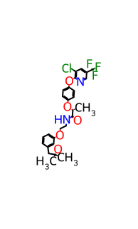 C[C@@H](Oc1ccc(Oc2ncc(C(F)(F)F)cc2Cl)cc1)C(=O)NCCOc1cccc2c1OC(C)(C)C2